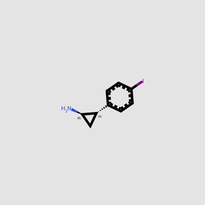 N[C@@H]1C[C@H]1c1ccc(I)cc1